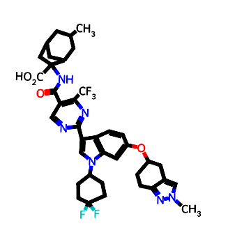 CC1CC2CC(C1)C(NC(=O)c1cnc(-c3cn(C4CCC(F)(F)CC4)c4cc(OC5CCc6nn(C)cc6C5)ccc34)nc1C(F)(F)F)(C(=O)O)C2